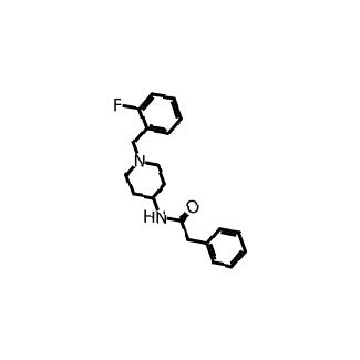 O=C(Cc1ccccc1)NC1CCN(Cc2ccccc2F)CC1